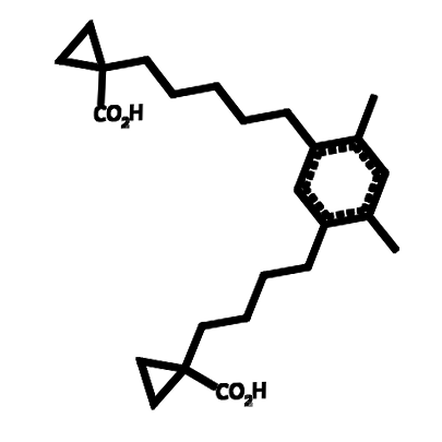 Cc1cc(C)c(CCCCC2(C(=O)O)CC2)cc1CCCCCC1(C(=O)O)CC1